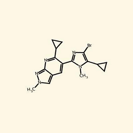 Cn1cc2cc(-c3nc(Br)c(C4CC4)n3C)c(C3CC3)nc2n1